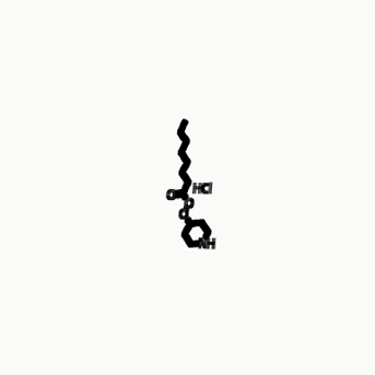 CCCCCCCC(=O)OOC1CCNCC1.Cl